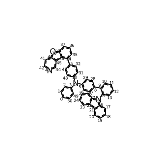 c1ccc(N(c2ccc(-c3ccccc3-n3c4ccccc4c4ccccc43)cc2)c2ccc(-c3cccc4oc5ccncc5c34)cc2)cc1